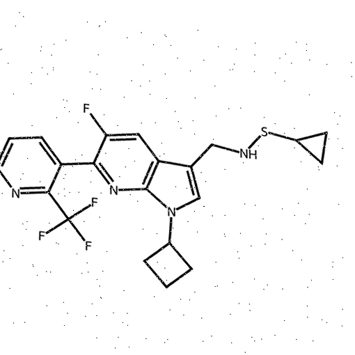 Fc1cc2c(CNSC3CC3)cn(C3CCC3)c2nc1-c1cccnc1C(F)(F)F